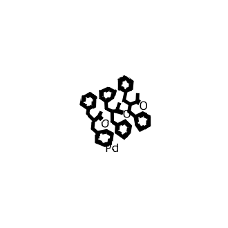 CC(=O)C(Cc1ccccc1)Cc1ccccc1.CC(=O)C(Cc1ccccc1)Cc1ccccc1.CC(=O)C(Cc1ccccc1)Cc1ccccc1.[Pd]